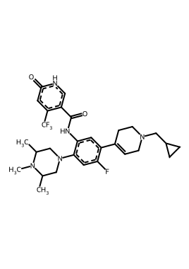 CC1CN(c2cc(F)c(C3=CCN(CC4CC4)CC3)cc2NC(=O)c2c[nH]c(=O)cc2C(F)(F)F)CC(C)N1C